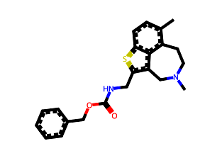 Cc1ccc2sc(CNC(=O)OCc3ccccc3)c3c2c1CCN(C)C3